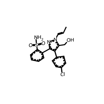 CC=Cn1nc(-c2ccccc2S(N)(=O)=O)c(-c2ccc(Cl)cc2)c1CO